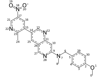 COc1ccc(CN(C)c2cc3ncc(-c4cc([N+](=O)[O-])cnc4C)cc3cn2)cc1